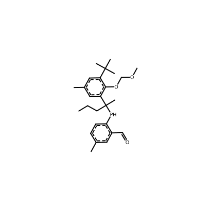 CCCC(C)(Pc1ccc(C)cc1C=O)c1cc(C)cc(C(C)(C)C)c1OCOC